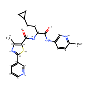 COc1ccc(NC(=O)C(CCC2CC2)NC(=O)c2sc(-c3cccnc3)nc2C(F)(F)F)cn1